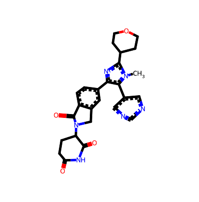 Cn1c(C2CCOCC2)nc(-c2ccc3c(c2)CN(C2CCC(=O)NC2=O)C3=O)c1-c1cncnc1